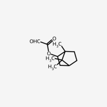 CC1(C)C2CCC1(C)C(OC(=O)C=O)C2